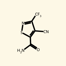 N#Cc1c(C(F)(F)F)nsc1C(N)=O